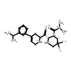 CC(C)c1cccc(C2=CCNC(C(=O)[C@H]3NCC(F)(F)C[C@@H]3C(=O)N(C)O)C2)c1